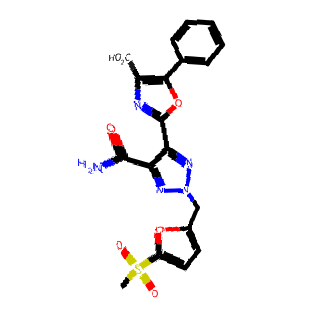 CS(=O)(=O)c1ccc(Cn2nc(C(N)=O)c(-c3nc(C(=O)O)c(-c4ccccc4)o3)n2)o1